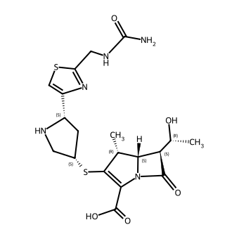 C[C@@H](O)[C@H]1C(=O)N2C(C(=O)O)=C(S[C@@H]3CN[C@H](c4csc(CNC(N)=O)n4)C3)[C@H](C)[C@H]12